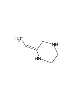 C/C=C1\CNCCN1